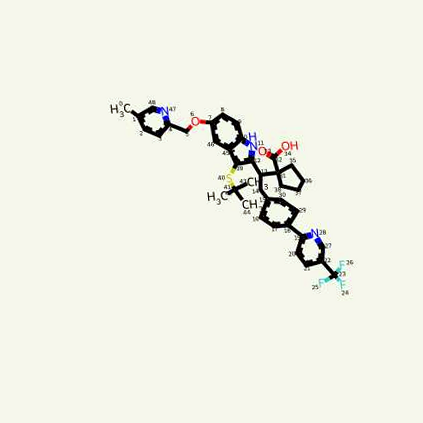 Cc1ccc(COc2ccc3[nH]c(C(Cc4ccc(-c5ccc(C(F)(F)F)cn5)cc4)C4(C(=O)O)CCCC4)c(SC(C)(C)C)c3c2)nc1